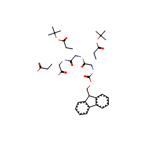 CC(C)(C)OC(=O)CC[C@H](NC(=O)OCC1c2ccccc2-c2ccccc21)C(=O)N[C@@H](CCC(=O)OC(C)(C)C)C(=O)N[C@@H](CCC(=O)O)C(=O)O